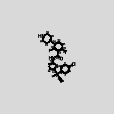 C#CC(C)(c1ccc(Cl)cc1)c1csc(NC(=O)c2c(F)ccc(N3CCNCC3)c2F)n1